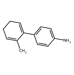 CC1=CCCC=C1c1ccc(N)cc1